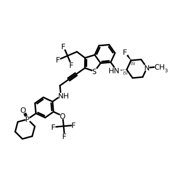 CN1CC[C@H](Nc2cccc3c(CC(F)(F)F)c(C#CCNc4ccc(P5(=O)CCCCC5)cc4OC(F)(F)F)sc23)[C@@H](F)C1